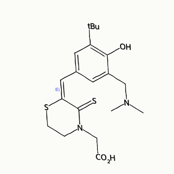 CN(C)Cc1cc(/C=C2/SCCN(CC(=O)O)C2=S)cc(C(C)(C)C)c1O